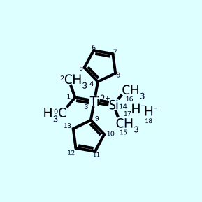 C[C](C)=[Ti+2]([C]1=CC=CC1)([C]1=CC=CC1)=[Si](C)C.[H-].[H-]